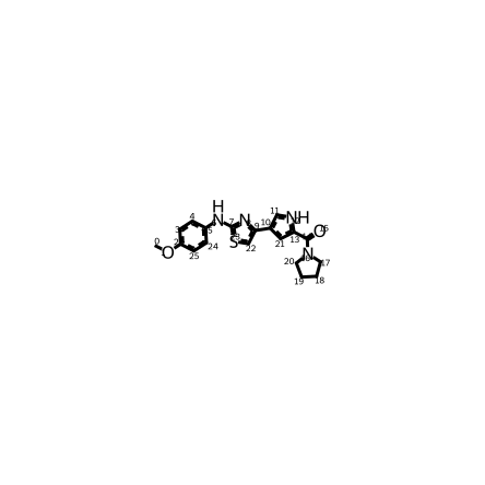 COc1ccc(Nc2nc(-c3c[nH]c(C(=O)N4CCCC4)c3)cs2)cc1